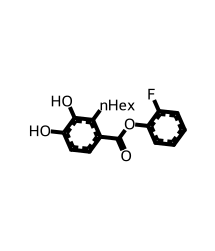 CCCCCCc1c(C(=O)Oc2ccccc2F)ccc(O)c1O